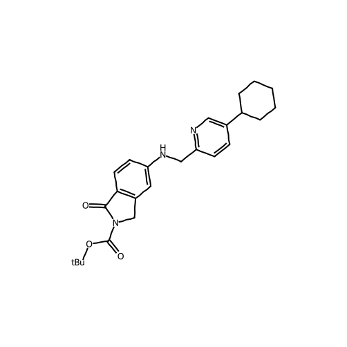 CC(C)(C)OC(=O)N1Cc2cc(NCc3ccc(C4CCCCC4)cn3)ccc2C1=O